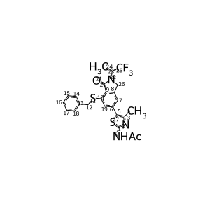 CC(=O)Nc1nc(C)c(-c2cc3c(c(SCc4ccccc4)c2)C(=O)N([C@@H](C)C(F)(F)F)C3)s1